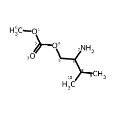 COC(=O)OCC(N)C(C)C